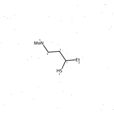 CCC(S)CCNC